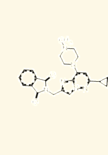 CN1CCN(c2cc(C3CC3)nn3cc(CN4C(=O)c5ccccc5C4=O)nc23)CC1